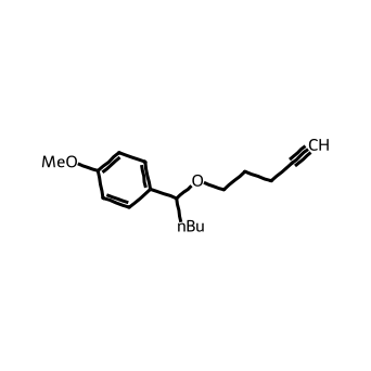 C#CCCCOC(CCCC)c1ccc(OC)cc1